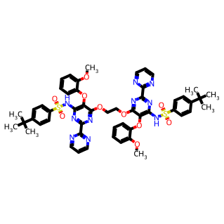 COc1ccccc1Oc1c(NS(=O)(=O)c2ccc(C(C)(C)C)cc2)nc(-c2ncccn2)nc1OCCOc1nc(-c2ncccn2)nc(NS(=O)(=O)c2ccc(C(C)(C)C)cc2)c1Oc1ccccc1OC